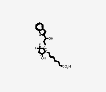 O=C(O)CCCC=CC[C@@H]1[C@@H](CCC(O)c2cc3ccccc3s2)C(F)(F)C[C@@H]1O